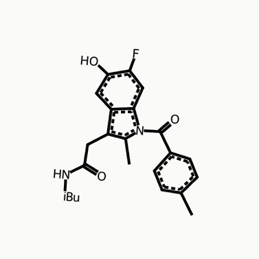 CCC(C)NC(=O)Cc1c(C)n(C(=O)c2ccc(C)cc2)c2cc(F)c(O)cc12